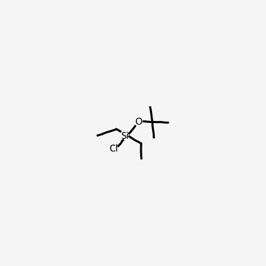 CC[Si](Cl)(CC)OC(C)(C)C